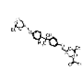 CCC(=O)OC[C@H](COc1ccc(C(C)(C)c2ccc(OC[C@@H](CCl)OC(=O)CC)cc2)cc1)OC(=O)CC